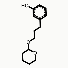 Oc1cccc(CCCOC2CCCCO2)c1